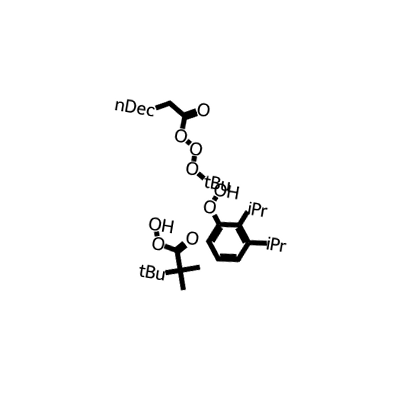 CC(C)(C)C(C)(C)C(=O)OO.CC(C)c1cccc(OO)c1C(C)C.CCCCCCCCCCCC(=O)OOOC(C)(C)C